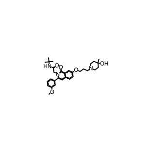 COc1cccc(-c2cc3ccc(OCCCN4CCC(C)(O)CC4)cc3c(=O)n2CC(=O)NC(C)(C)C)c1